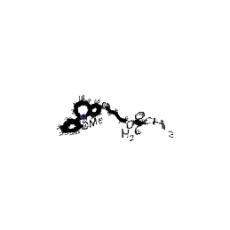 C=C(C)C(=O)OCCCCOc1ccc2c(c1)CCCC/C(c1ccccc1OC)=C\2